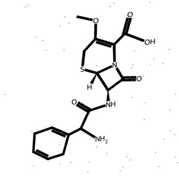 COC1=C(C(=O)O)N2C(=O)[C@@H](NC(=O)C(N)C3=CCC=CC3)[C@@H]2SC1